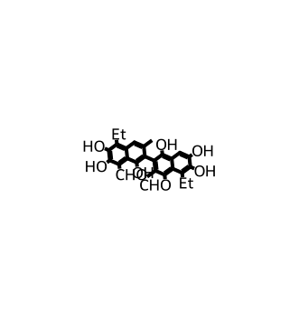 CCc1c(O)c(O)c(C=O)c2c(O)c(-c3c(C)c(C=O)c4c(CC)c(O)c(O)cc4c3O)c(C)cc12